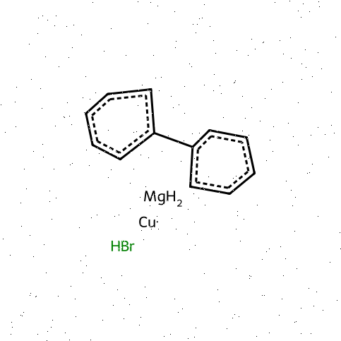 Br.[Cu].[MgH2].c1ccc(-c2ccccc2)cc1